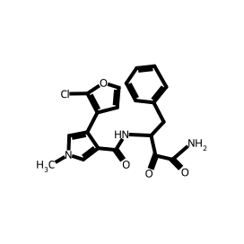 Cn1cc(C(=O)NC(Cc2ccccc2)C(=O)C(N)=O)c(-c2ccoc2Cl)c1